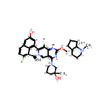 C#Cc1c(F)ccc2cc(O)cc(-c3ncc4c(N5CCCC(C)(O)C5)nc(OC[C@]56CCC[C@H]5N(C)CCC6)nc4c3F)c12